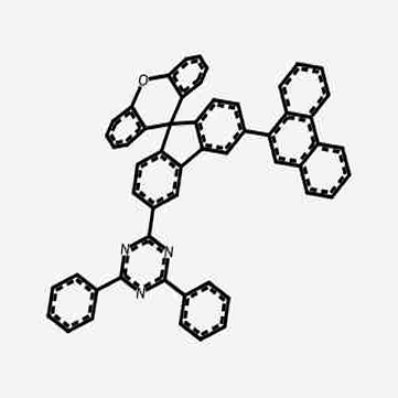 c1ccc(-c2nc(-c3ccccc3)nc(-c3ccc4c(c3)-c3cc(-c5cc6ccccc6c6ccccc56)ccc3C43c4ccccc4Oc4ccccc43)n2)cc1